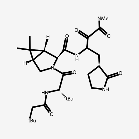 CNC(=O)C(=O)C(C[C@@H]1CCNC1=O)NC(=O)[C@@H]1[C@@H]2[C@H](CN1C(=O)[C@@H](NC(=O)CC(C)(C)C)C(C)(C)C)C2(C)C